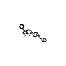 c1ccc(-c2csc3nc(N4CCN(CCN5CCCC5)CC4)ncc23)cc1